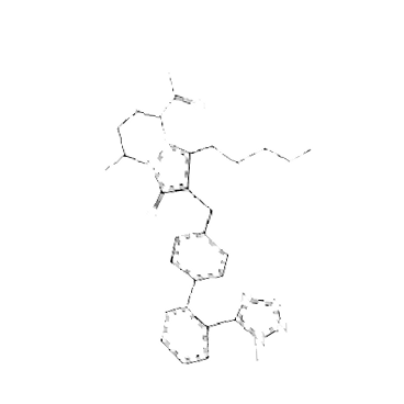 CCCCCc1c(Cc2ccc(-c3ccccc3-c3nnn[nH]3)cc2)c(=O)n2n1C(C(C)=O)CCC2C